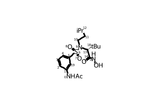 CC(=O)Nc1cccc(S(=O)(=O)N(CCC(C)C)[C@@H](C(=O)NO)C(C)(C)C)c1